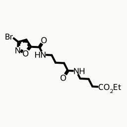 CCOC(=O)CCCNC(=O)CCCNC(=O)c1cc(Br)no1